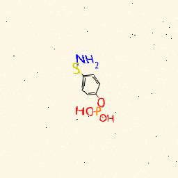 NSc1ccc(OP(O)O)cc1